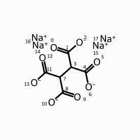 O=C([O-])C(C(=O)[O-])C(C(=O)[O-])C(=O)[O-].[Na+].[Na+].[Na+].[Na+]